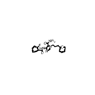 NC(=O)c1c(NC(=O)c2ccccc2F)ncn1CCCc1ccccc1